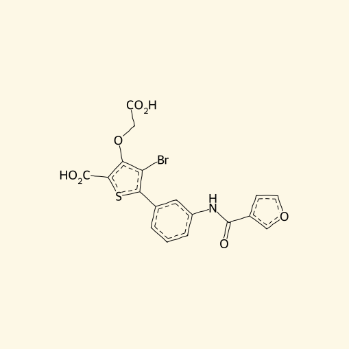 O=C(O)COc1c(C(=O)O)sc(-c2cccc(NC(=O)c3ccoc3)c2)c1Br